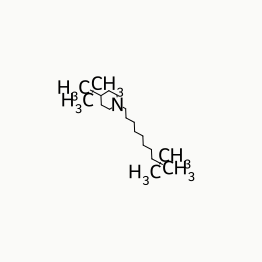 CC(C)(C)CCCCCCCCN1CCC(C(C)(C)C)CC1